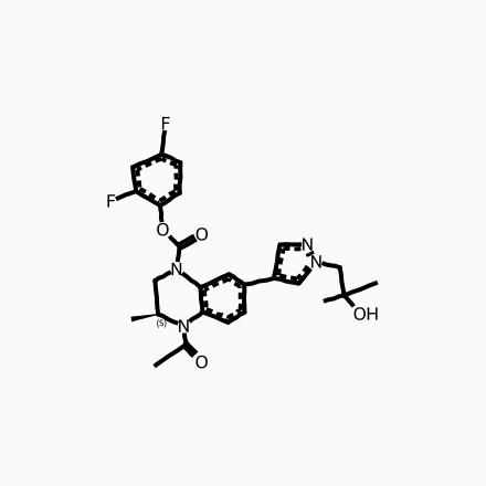 CC(=O)N1c2ccc(-c3cnn(CC(C)(C)O)c3)cc2N(C(=O)Oc2ccc(F)cc2F)C[C@@H]1C